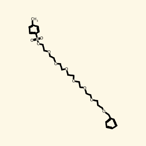 Cc1ccc(S(=O)(=O)OCCOCCOCCOCCOCCOCCOCCCOCc2ccccc2)cc1